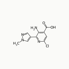 Cn1cc(-c2nc(Cl)cc(C(=O)O)c2N)cn1